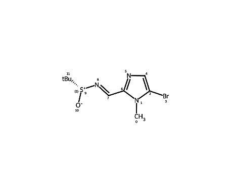 Cn1c(Br)cnc1C=N[S@+]([O-])C(C)(C)C